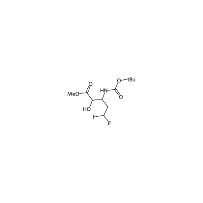 COC(=O)C(O)C(CC(F)F)NC(=O)OC(C)(C)C